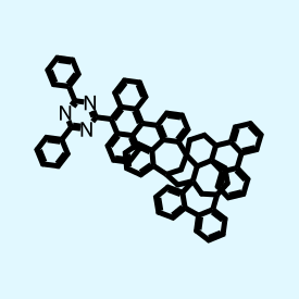 c1ccc(-c2nc(-c3ccccc3)nc(-c3c4ccccc4c(-c4cccc5c4-c4ccccc4C4CC67CC(CCC89c%10ccccc%10-c%10ccccc%10C8CCC5(C4)C69)c4ccccc4-c4ccccc47)c4ccccc34)n2)cc1